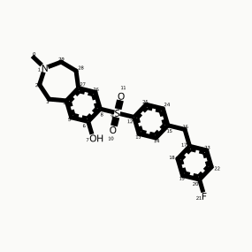 CN1CCc2cc(O)c(S(=O)(=O)c3ccc(Cc4ccc(F)cc4)cc3)cc2CC1